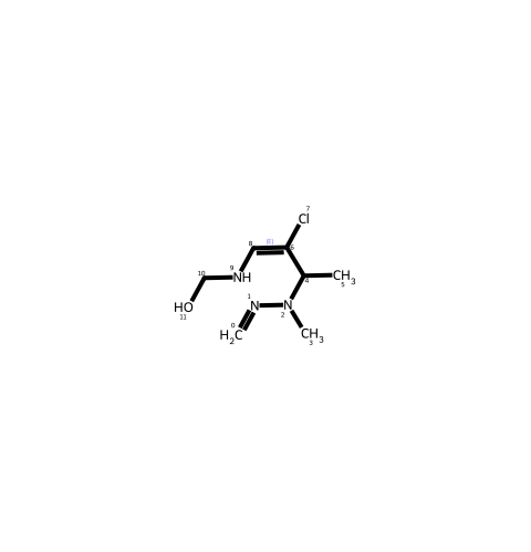 C=NN(C)C(C)/C(Cl)=C\NCO